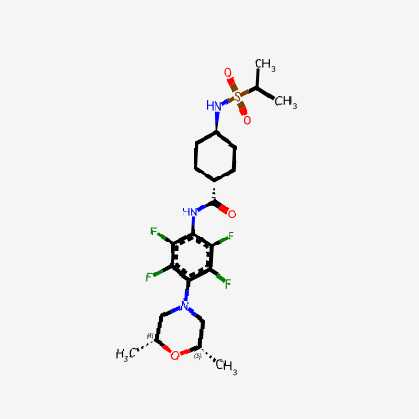 CC(C)S(=O)(=O)N[C@H]1CC[C@H](C(=O)Nc2c(F)c(F)c(N3C[C@@H](C)O[C@@H](C)C3)c(F)c2F)CC1